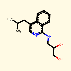 CC(C)Cc1cnc(NCC(O)CO)c2ccccc12